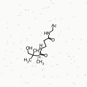 CC(=O)CNC(=O)CCNC(=O)[C@H](C)C(C)(C)CO